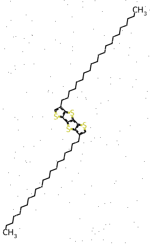 CCCCCCCCCCCCCCCCCCCCCc1csc2c1sc1c3scc(CCCCCCCCCCCCCCCCCCCCC)c3sc21